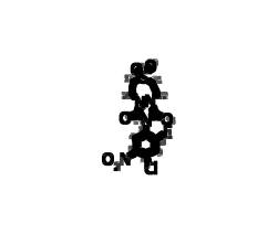 O=c1n(-c2cc([N+](=O)[O-])c(Cl)cc2F)c(=O)n2n1CCS(=O)(=O)CC2